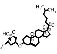 CCCC(CS(=O)(=O)O)OC1CC[C@@]2(C)C(=CCC3C2CC[C@@]2(C)C3CC[C@@H]2[C@H](C)CCCC(C)C)C1